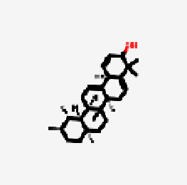 C[C@@H]1[C@H]2[C@H]3CC=C4[C@@]5(C)C=CC(O)C(C)(C)C5=CC[C@@]4(C)[C@]3(C)CC[C@@]2(C)CC[C@H]1C